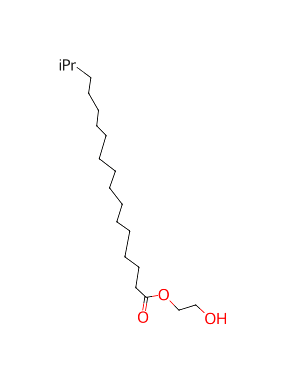 CC(C)CCCCCCCCCCCCCCC(=O)OCCO